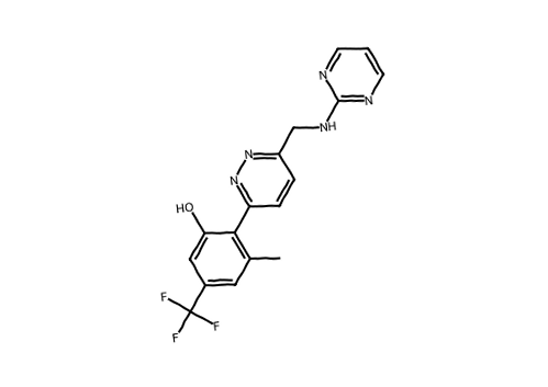 Cc1cc(C(F)(F)F)cc(O)c1-c1ccc(CNc2ncccn2)nn1